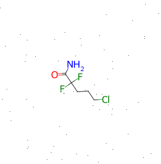 NC(=O)C(F)(F)CCCCl